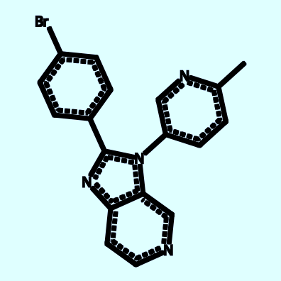 Cc1ccc(-n2c(-c3ccc(Br)cc3)nc3ccncc32)cn1